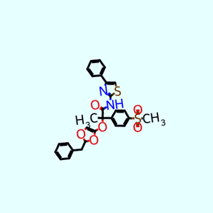 CC(OC1=COC(Cc2ccccc2)O1)(C(=O)Nc1nc(-c2ccccc2)cs1)c1ccc(S(C)(=O)=O)cc1